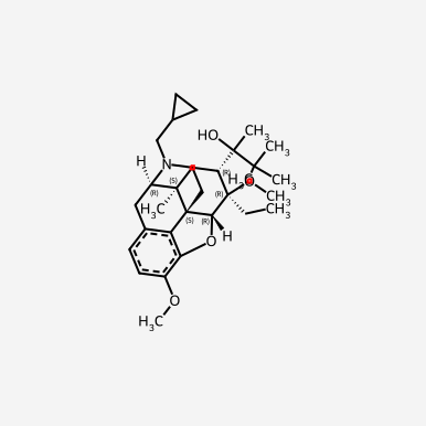 CC[C@@]1(OC)[C@@H](C(C)(O)C(C)(C)C)C[C@]2(C)[C@H]3Cc4ccc(OC)c5c4[C@@]2(CCN3CC2CC2)[C@H]1O5